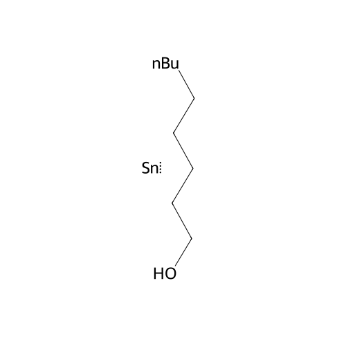 CCCCCCCCCO.[Sn]